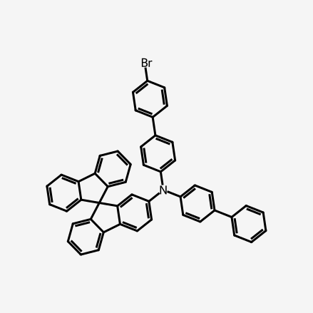 Brc1ccc(-c2ccc(N(c3ccc(-c4ccccc4)cc3)c3ccc4c(c3)C3(c5ccccc5-c5ccccc53)c3ccccc3-4)cc2)cc1